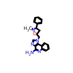 CN1OC(Cn2cnc3c(N)nc4ccccc4c32)CC1c1ccccc1